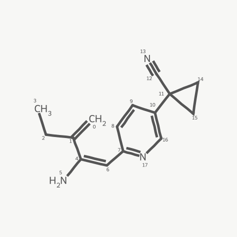 C=C(CC)/C(N)=C\c1ccc(C2(C#N)CC2)cn1